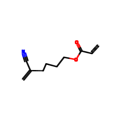 C=CC(=O)OCCCCC(=C)C#N